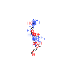 C/C=C/[C@@H]1O[C@H]([C@@H](/C=C/C=C(\C)C[C@@H](C)/C=C(C)\C=C\[C@H]2CC=CC(=O)O2)NC(=O)OCC/C(N)=C/N(N)CCC[C@H](NC(=O)CC[C@@H](C)NC(=O)c2ccc(NCc3cnc4nc(N)nc(O)c4n3)cc2)C(=O)N[C@H](CCCCN)C(=O)O)C[C@@H](O)[C@@H]1C